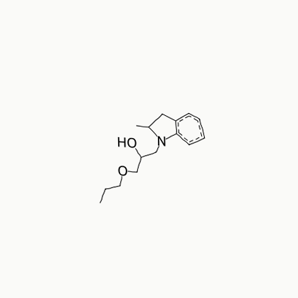 CCCOCC(O)CN1c2ccccc2CC1C